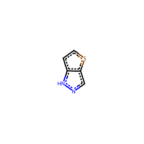 c1cc2[nH]ncc2s1